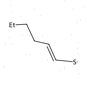 CCCCC=C[S]